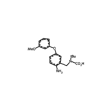 COc1cccc(Oc2ccc(N)c(CN(C(=O)O)C(C)(C)C)c2)c1